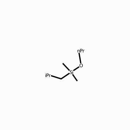 CCCO[Si](C)(C)CC(C)C